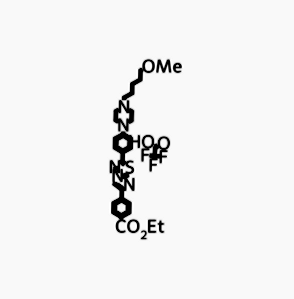 CCOC(=O)c1ccc(-c2cn3nc(-c4ccc(N5CCN(CCCCCOC)CC5)cc4)sc3n2)cc1.O=C(O)C(F)(F)F